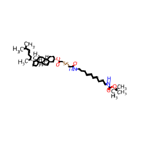 CC(C)CCCC(C)[C@H]1CC[C@H]2[C@@H]3CC=C4C[C@@H](OC(=O)CSSCC(=O)NCCCCCCCCCCNC(=O)OC(C)(C)C)CC[C@]4(C)[C@H]3CC[C@]12C